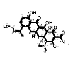 CCO/N=C(/C)c1ccc(O)c2c1C[C@H]1C[C@H]3[C@H](N(C)C)C(O)=C(C(N)=O)C(=O)[C@@]3(O)C(O)=C1C2=O